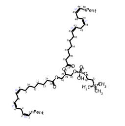 CCCCC/C=C\C/C=C\C/C=C\CCCCCCC(=O)OC[C@H](COP(=O)(O)OCC[N+](C)(C)C)OC(=O)CCCCCC/C=C\C/C=C\C/C=C\CCCCC